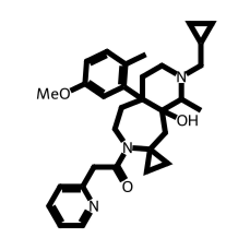 COc1ccc(C)c(C23CCN(CC4CC4)C(C)C2(O)CC2(CC2)N(C(=O)Cc2ccccn2)CC3)c1